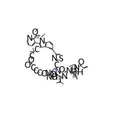 C=CC(=O)N1CCN(C(=O)N(C)[C@H](C(=O)/N=C2/Cc3nc(cs3)-c3ccc4c(c3)c(c(-c3cccnc3[C@H](C)OC)n4CC)CC(C)(C)COC(=O)CCCCN(N)C2=O)C(C)C)[C@@H]2[C@H](C)[C@@H]21